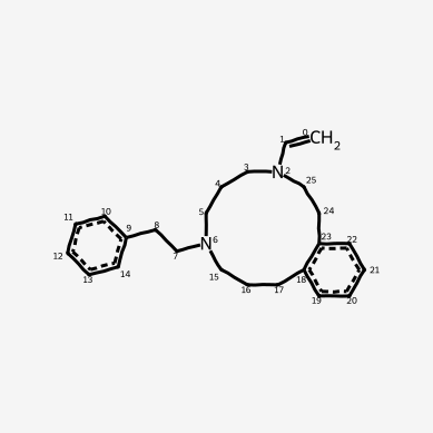 C=CN1CCCN(CCc2ccccc2)CCCc2ccccc2CC1